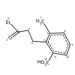 CCC(=O)CCc1c(C)cccc1C(=O)O